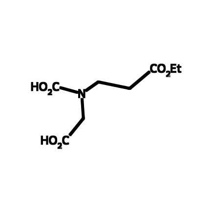 CCOC(=O)CCN(CC(=O)O)C(=O)O